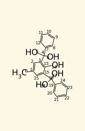 Cc1cc(C(O)(O)c2ccccc2)c(O)c(C(O)(O)c2ccccc2)c1